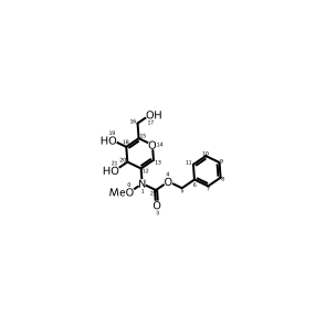 CON(C(=O)OCc1ccccc1)C1=COC(CO)=C(O)C1O